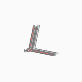 Cl.Cl.Cl.Cl.[Ca+2].[Ca+2].[Ca+2].[Ca+2].[Ca+2].[Ca+2].[Ca+2].[Ca+2].[Ca+2].[Ca+2].[Ca+2].[Ca+2].[Ca+2].[Ca+2].[Ca+2].[Ca+2].[Ca+2].[Ca+2].[Ca+2].[Ca+2].[Ca+2].[Ca+2].[Ca+2].[Ca+2].[Ca+2].[Ca+2].[Ca+2].[Ca+2].[Ca+2].[Ca+2].[Ca+2].[Ca+2].[Ca+2].[Ca+2].[Ca+2].[Ca+2].[Ca+2].[Ca+2].[Ca+2].[Ca+2].[Ca+2].[Ca+2].[Ca+2].[Ca+2].[Ca+2].[Ca+2].[Ca+2].[Ca+2].[Ca+2].[Ca+2].[Ca+2].[Ca+2].[Ca+2].[Ca+2].[Ca+2].[Ca+2].[Ca+2].[Ca+2].[Ca+2].[Ca+2].[Ca+2].[Ca+2].[Ca+2].[Ca+2].[Ca+2].[Ca+2].[Ca+2].[Ca+2].[Ca+2].[Ca+2].[Ca+2].[Ca+2].[Ca+2]